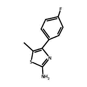 Cc1sc(N)nc1-c1ccc(F)cc1